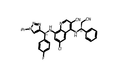 CC(C)n1cc([C@@H](Nc2cc(Cl)cc3c(N[C@@H](CC#N)c4ccccc4)c(C#N)cnc23)c2ccc(F)cc2)nn1